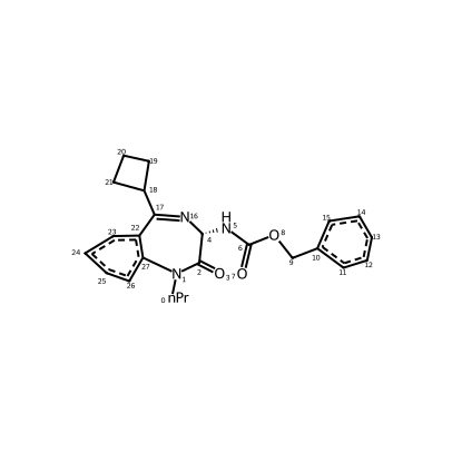 CCCN1C(=O)[C@@H](NC(=O)OCc2ccccc2)N=C(C2CCC2)c2ccccc21